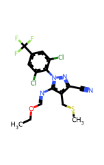 CCOC=Nc1c(CSC)c(C#N)nn1-c1c(Cl)cc(C(F)(F)F)cc1Cl